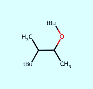 CC(OC(C)(C)C)C(C)C(C)(C)C